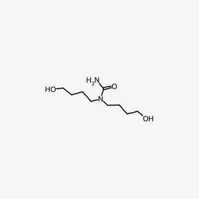 NC(=O)N(CCCCO)CCCCO